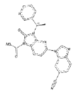 C[C@H](c1cccnc1)n1c(=O)n(C(=O)O)c2ccc(-n3cnc4ccc(C#N)cc43)nc21